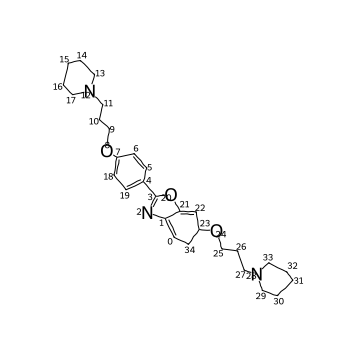 C1=c2nc(-c3ccc(OCCCN4CCCCC4)cc3)oc2=CC(OCCCN2CCCCC2)C1